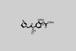 COC(=O)Nc1ccc(N(O)C(=O)Cn2cc[n+](C)c2)cc1OC.[Cl-]